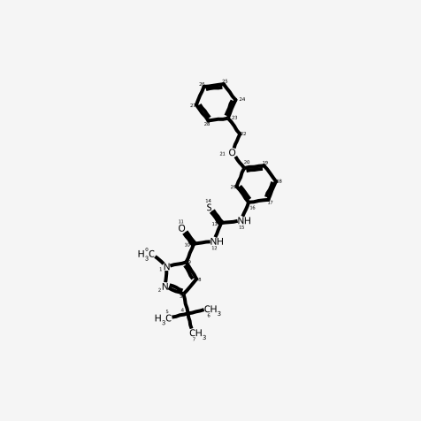 Cn1nc(C(C)(C)C)cc1C(=O)NC(=S)Nc1cccc(OCc2ccccc2)c1